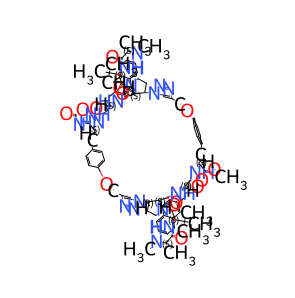 CN[C@@H](C)C(=O)N[C@H](C(=O)N1CCC2[C@H]1C(=O)N[C@@H](Cc1ccc3ccccc3c1)C(=O)N[C@H](c1nc(=O)o[nH]1)Cc1ccc(cc1)OCc1cn(nn1)[C@@H]1CCN(C(=O)[C@@H](NC(=O)[C@H](C)NC)C(C)(C)C)[C@@H]1C(=O)N[C@@H](Cc1ccc3ccccc3c1)C(=O)N[C@H](C(=O)OC)Cc1ccc(cc1)OCc1cn2nn1)C(C)(C)C